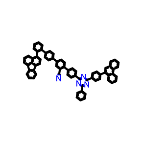 N#Cc1cc(-c2ccc(-c3ccccc3-c3ccc4c5c(cccc35)-c3ccccc3-4)cc2)ccc1-c1ccc(-c2nc(-c3ccccc3)nc(-c3ccc(-c4cc5ccccc5c5ccccc45)cc3)n2)cc1